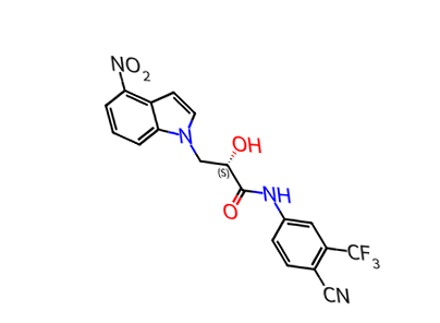 N#Cc1ccc(NC(=O)[C@@H](O)Cn2ccc3c([N+](=O)[O-])cccc32)cc1C(F)(F)F